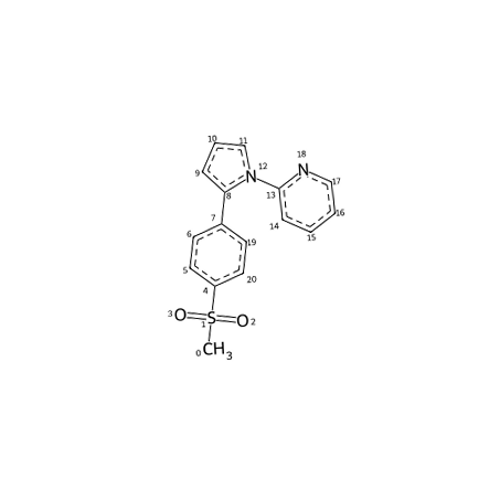 CS(=O)(=O)c1ccc(-c2cccn2-c2ccccn2)cc1